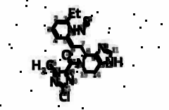 CCC1=CC=C/C(=C/C[C@H]2c3nc[nH]c3CCN2C(=O)c2nc(Cl)nn2C)N1N=S